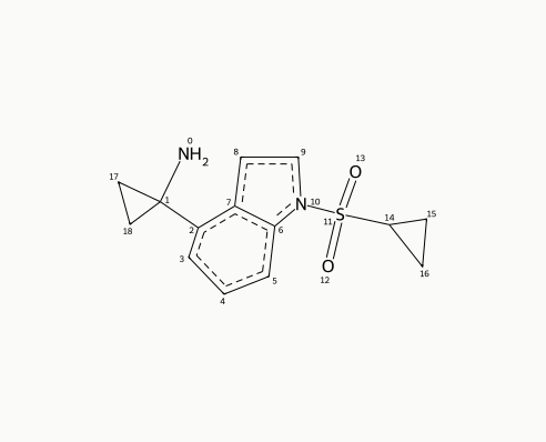 NC1(c2cccc3c2ccn3S(=O)(=O)C2CC2)CC1